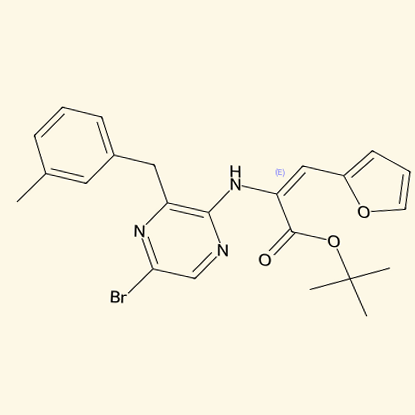 Cc1cccc(Cc2nc(Br)cnc2N/C(=C/c2ccco2)C(=O)OC(C)(C)C)c1